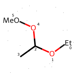 CCOC(C)OOC